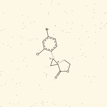 O=C1OCC[C@@]12C[C@@H]2c1ccc(Br)cc1Cl